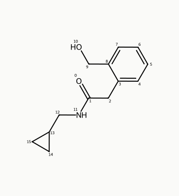 O=C(Cc1ccccc1CO)NCC1CC1